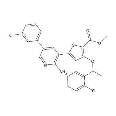 COC(=O)c1sc(-c2cc(-c3cccc(Cl)c3)cnc2N)cc1OC(C)c1ccccc1Cl